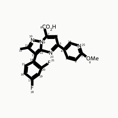 COc1ccc(-c2cc(C(=O)O)n3nc(C)c(-c4ccc(F)cc4F)c3n2)cn1